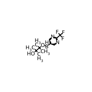 CC(C)(O)C(C)(C)OBc1cnc(C(F)(F)F)nc1